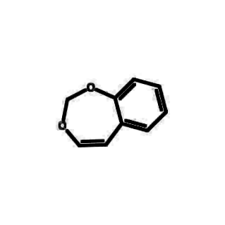 C1=Cc2ccccc2OCO1